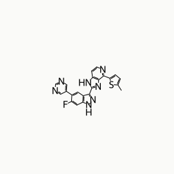 Cc1ccc(-c2nccc3[nH]c(-c4n[nH]c5cc(F)c(-c6cncnc6)cc45)nc23)s1